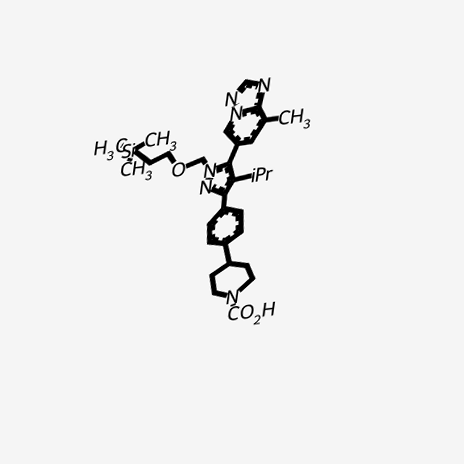 Cc1cc(-c2c(C(C)C)c(-c3ccc(C4CCN(C(=O)O)CC4)cc3)nn2COCC[Si](C)(C)C)cn2ncnc12